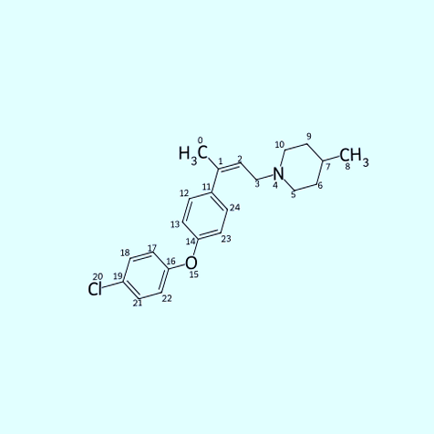 CC(=CCN1CCC(C)CC1)c1ccc(Oc2ccc(Cl)cc2)cc1